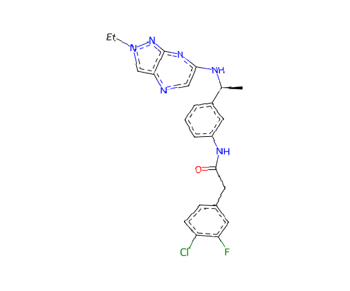 CCn1cc2ncc(N[C@@H](C)c3cccc(NC(=O)Cc4ccc(Cl)c(F)c4)c3)nc2n1